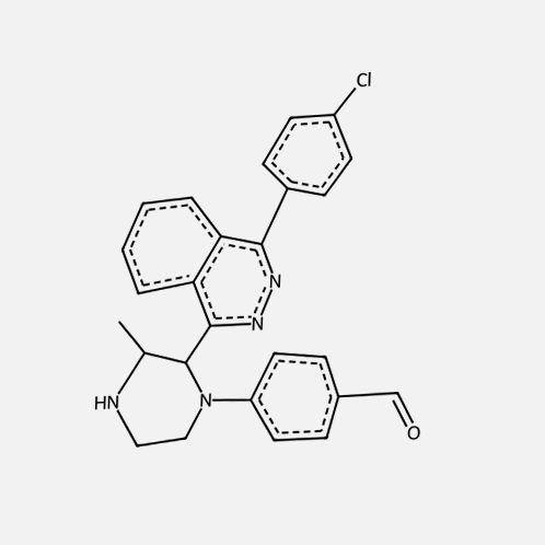 CC1NCCN(c2ccc(C=O)cc2)C1c1nnc(-c2ccc(Cl)cc2)c2ccccc12